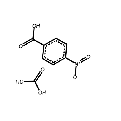 O=C(O)O.O=C(O)c1ccc([N+](=O)[O-])cc1